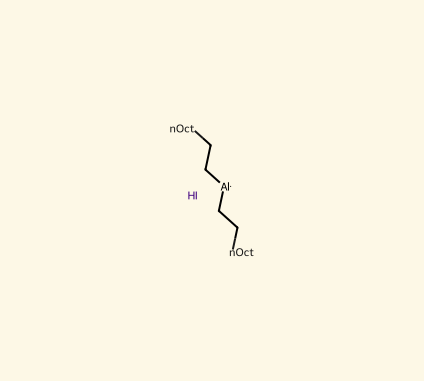 CCCCCCCCC[CH2][Al][CH2]CCCCCCCCC.I